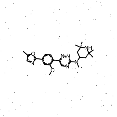 COc1cc(-c2ncc(C)o2)ccc1-c1cnc(N(C)C2CC(C)(C)NC(C)(C)C2)nn1